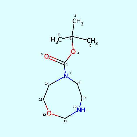 CC(C)(C)OC(=O)N1CCNCOCC1